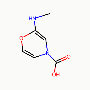 CNC1=CN(C(=O)O)C=CO1